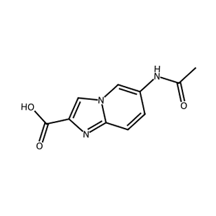 CC(=O)Nc1ccc2nc(C(=O)O)cn2c1